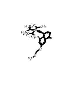 COCOc1cc(O)c2c(C#C[Si](C(C)C)(C(C)C)C(C)C)ccc(F)c2c1